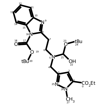 CCOC(=O)c1cc(CN(CCc2nc3ccccc3n2C(=O)OC(C)(C)C)C(O)OC(C)(C)C)nn1C